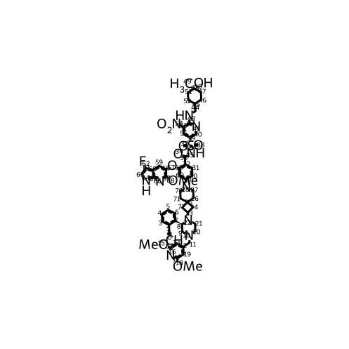 C#Cc1ccccc1[C@@H]1CN(Cc2cc(OC)nc(OC)c2)CCN1C1CC2(CCN(c3ccc(C(=O)NS(=O)(=O)c4cnc(NCC5CCC(C)(O)CC5)c([N+](=O)[O-])c4)c(Oc4cc5c(F)c[nH]c5nc4OC)c3)CC2)C1